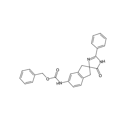 O=C(Nc1ccc2c(c1)CC1(C2)N=C(c2ccccc2)NC1=O)OCc1ccccc1